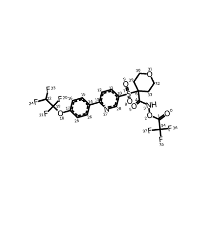 O=C(ONC(=O)C1(S(=O)(=O)c2ccc(-c3ccc(OC(F)(F)C(F)F)cc3)nc2)CCOCC1)C(F)(F)F